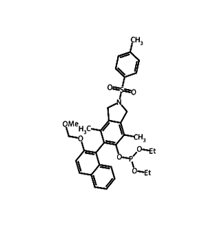 CCOP(OCC)Oc1c(C)c2c(c(C)c1-c1c(OCOC)ccc3ccccc13)CN(S(=O)(=O)c1ccc(C)cc1)C2